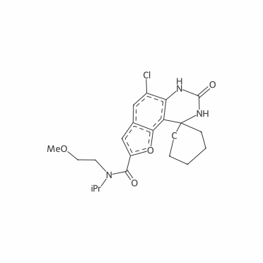 COCCN(C(=O)c1cc2cc(Cl)c3c(c2o1)C1(CCCCC1)NC(=O)N3)C(C)C